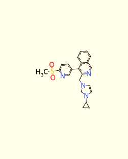 CS(=O)(=O)c1ccc(-c2c(CN3C=CN(C4CC4)C3)ncc3ccccc23)cn1